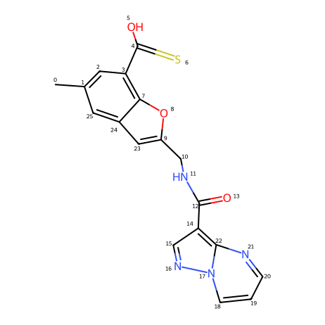 Cc1cc(C(O)=S)c2oc(CNC(=O)c3cnn4cccnc34)cc2c1